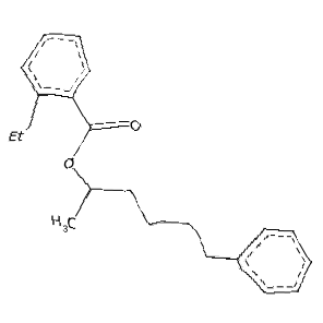 CCc1ccccc1C(=O)OC(C)CCCCc1ccccc1